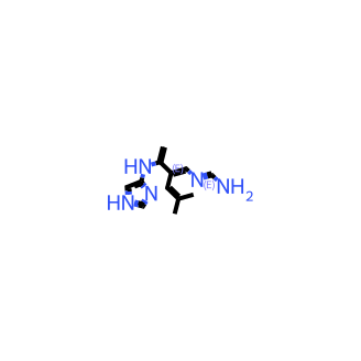 C=C(Nc1c[nH]cn1)/C(C=C(C)C)=C/N=C/N